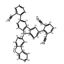 N#Cc1ccccc1-c1ccc2c(c1)c1cc(-c3c(C#N)cccc3C#N)ccc1n2-c1ccc2oc3ccccc3c2c1